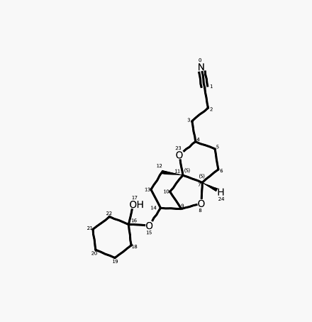 N#CCCC1CC[C@@H]2OC3C[C@]2(CCC3OC2(O)CCCCC2)O1